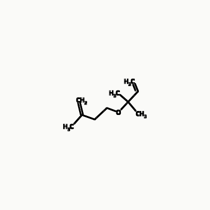 C=CC(C)(C)OCCC(=C)C